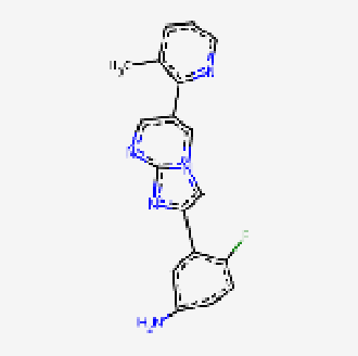 Cc1cccnc1-c1cnc2nc(-c3cc(N)ccc3F)cn2c1